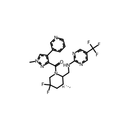 C[C@@H]1CC(F)(F)CN(C(=O)c2nn(C)cc2-c2cccnc2)C1CNc1ncc(C(F)(F)F)cn1